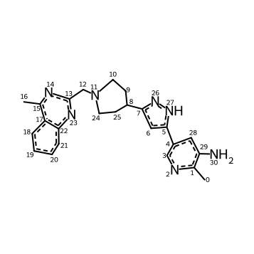 Cc1ncc(-c2cc(C3CCN(Cc4nc(C)c5ccccc5n4)CC3)n[nH]2)cc1N